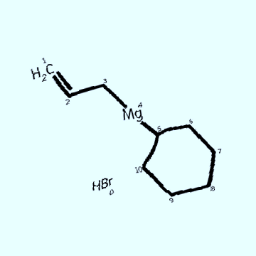 Br.C=C[CH2][Mg][CH]1CCCCC1